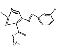 COC(=O)c1cc(F)ccc1N=Cc1cccc(Br)c1